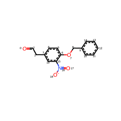 O=CCc1ccc(OCc2ccccc2)c([N+](=O)[O-])c1